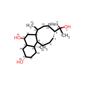 CCCCCC[C@](C)(O)[C@@H]1CCCC2C(C[C@H](O)C3C[C@@H](O)CC[C@]23C)C(C)CC1